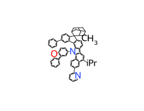 Cc1cc2c3cc(C(C)C)c4cc(-c5ccccn5)ccc4c3n(-c3ccc4oc5ccccc5c4c3)c2c2c1C1(c3ccc(-c4ccccc4)cc3-2)C2CC3CC(C2)CC1C3